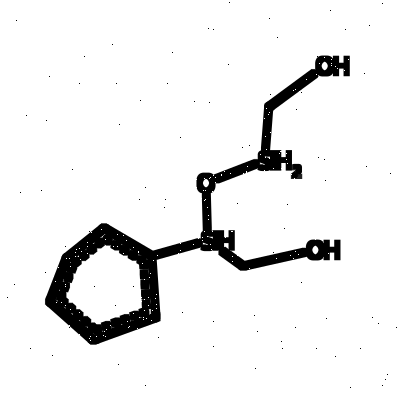 OC[SiH2]O[SiH](CO)c1ccccc1